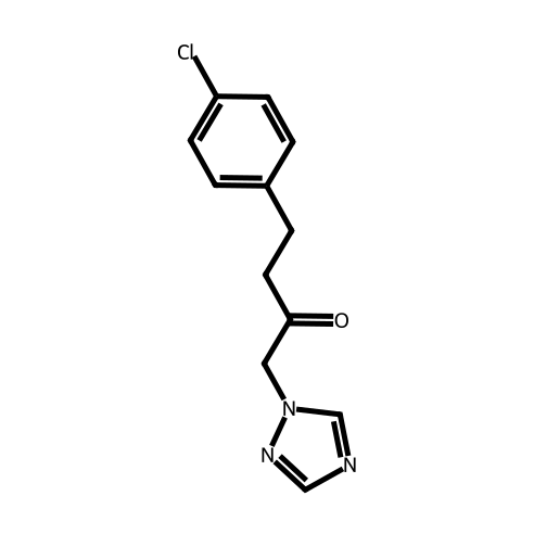 O=C(CCc1ccc(Cl)cc1)Cn1cncn1